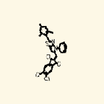 Cc1cc(C)c(-c2nc3c(cc(C=C4C(=O)c5cc(Cl)c(Cl)cc5C4=O)n3-c3ccccc3)s2)c(C)c1